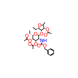 CC[C@@H]1OC(O[C@@H]2[C@@H](CC)OC(C)[C@@H]2OC(C)=O)[C@H](NC(=O)OCc2ccccc2)[C@@H](OC(C)=O)[C@@H]1OC(C)=O